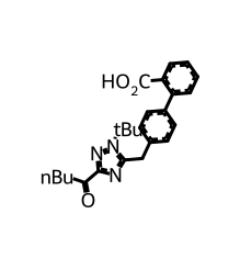 CCCCC(=O)c1nc(Cc2ccc(-c3ccccc3C(=O)O)cc2)n(C(C)(C)C)n1